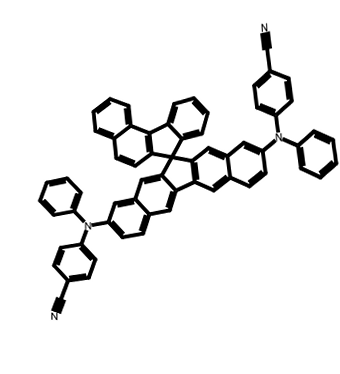 N#Cc1ccc(N(c2ccccc2)c2ccc3cc4c(cc3c2)C2(c3cc5cc(N(c6ccccc6)c6ccc(C#N)cc6)ccc5cc3-4)c3ccccc3-c3c2ccc2ccccc32)cc1